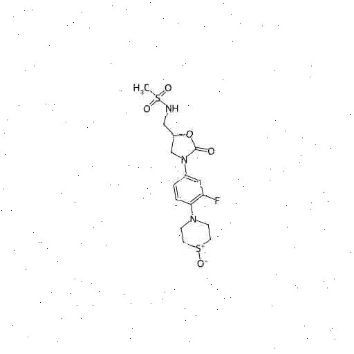 CS(=O)(=O)NCC1CN(c2ccc(N3CC[S+]([O-])CC3)c(F)c2)C(=O)O1